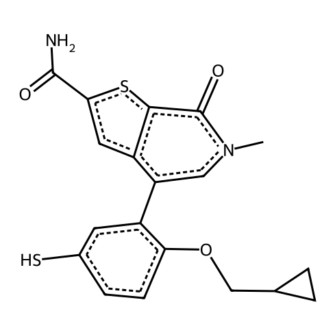 Cn1cc(-c2cc(S)ccc2OCC2CC2)c2cc(C(N)=O)sc2c1=O